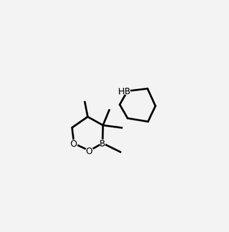 B1CCCCC1.CB1OOCC(C)C1(C)C